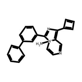 N[N+]12C=CN=CC1=C(C1=CC=C1)N=C2c1cccc(-c2ccccc2)c1